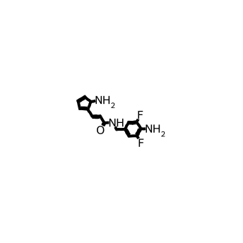 Nc1c(F)cc(CNC(=O)/C=C/C2=CC=CC2N)cc1F